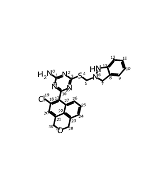 Nc1nc(SCN2Cc3ccccc3N2)nc(-c2c(Cl)cc3c4c(cccc24)COC3)n1